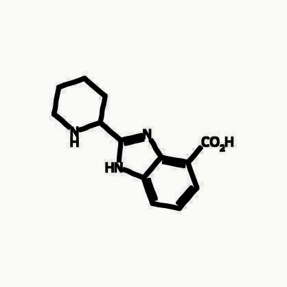 O=C(O)c1cccc2[nH]c(C3CCCCN3)nc12